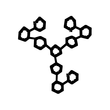 c1ccc(-c2ccccc2-c2ccc(-c3cc(-c4ccc(-c5ccccc5-c5ccccn5)cc4)cc(-c4ccc(-c5ccccc5-c5ccccn5)cc4)c3)cc2)nc1